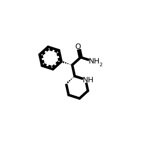 NC(=O)[C@@H](c1ccccc1)[C@H]1CCCCN1